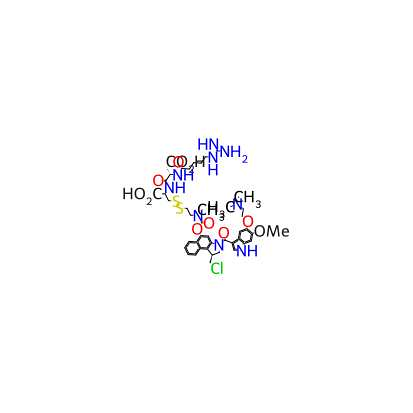 COc1cc2[nH]cc(C(=O)N3C[C@@H](CCl)c4c3cc(OC(=O)N(C)CCSSC[C@H](NC(=O)[C@H](CC(=O)O)NC(=O)CCCCNC(=N)N)C(=O)O)c3ccccc43)c2cc1OCCN(C)C